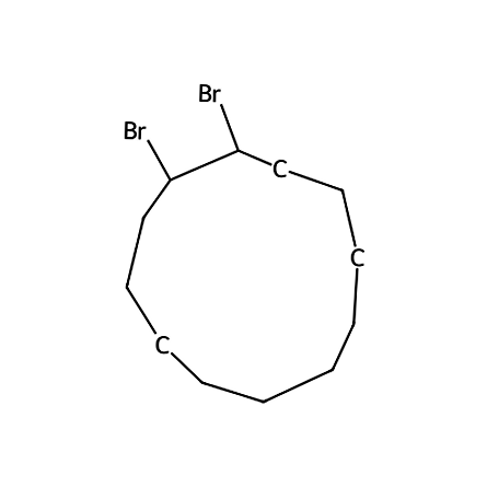 BrC1CCCCCCCCCCC1Br